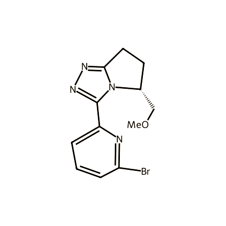 COC[C@H]1CCc2nnc(-c3cccc(Br)n3)n21